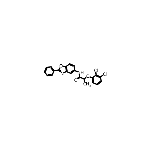 CC(Oc1cccc(Cl)c1Cl)C(=O)Nc1ccc2oc(-c3ccccc3)nc2c1